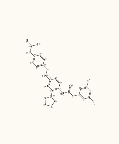 O=C(Cc1cc(F)cc(F)c1)Nc1ccc(NCc2ccc(OC(F)F)cc2)nc1N1CCCC1